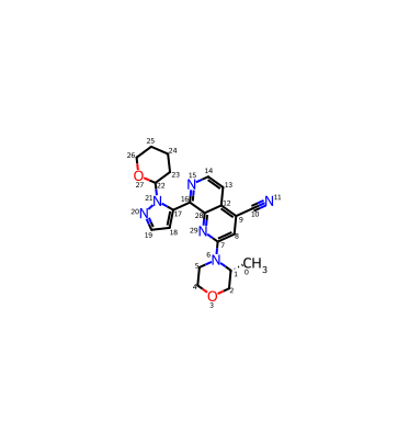 C[C@@H]1COCCN1c1cc(C#N)c2ccnc(-c3ccnn3C3CCCCO3)c2n1